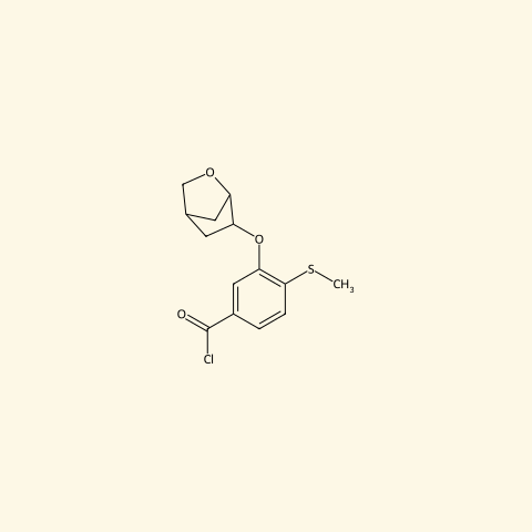 CSc1ccc(C(=O)Cl)cc1OC1CC2COC1C2